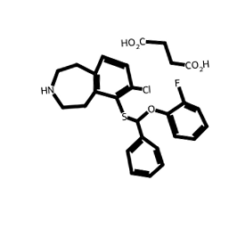 Fc1ccccc1OC(Sc1c(Cl)ccc2c1CCNCC2)c1ccccc1.O=C(O)CCC(=O)O